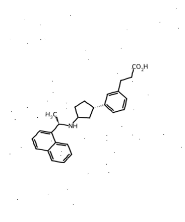 C[C@@H](NC1CC[C@H](c2cccc(CCC(=O)O)c2)C1)c1cccc2ccccc12